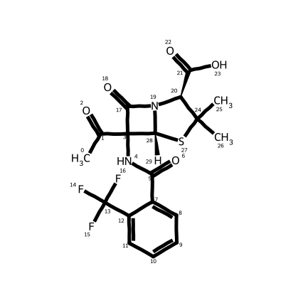 CC(=O)C1(NC(=O)c2ccccc2C(F)(F)F)C(=O)N2[C@@H](C(=O)O)C(C)(C)S[C@@H]21